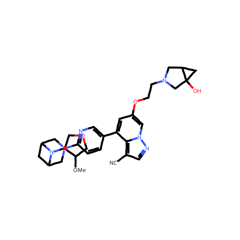 COC1COCC1N1C2CC1CN(c1ccc(-c3cc(OCCN4CC5CC5(O)C4)cn4ncc(C#N)c34)cn1)C2